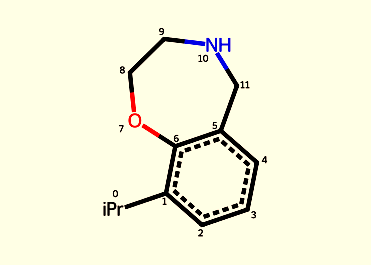 CC(C)c1cccc2c1OCCNC2